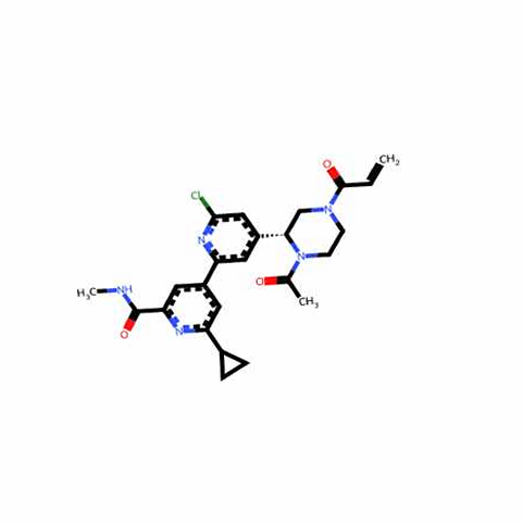 C=CC(=O)N1CCN(C(C)=O)[C@H](c2cc(Cl)nc(-c3cc(C(=O)NC)nc(C4CC4)c3)c2)C1